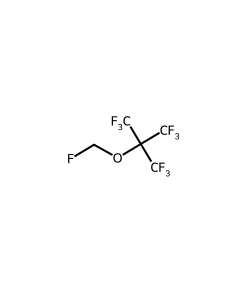 FCOC(C(F)(F)F)(C(F)(F)F)C(F)(F)F